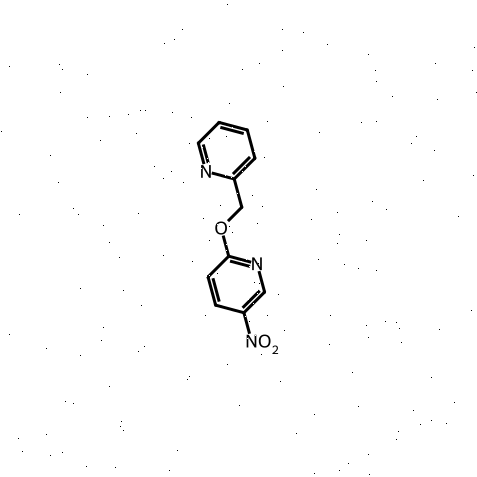 O=[N+]([O-])c1ccc(OCc2ccccn2)nc1